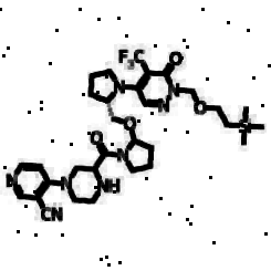 C[Si](C)(C)CCOCn1ncc(N2CCC[C@H]2COC2CCCN2C(=O)C2CN(c3ccncc3C#N)CCN2)c(C(F)(F)F)c1=O